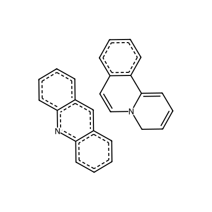 C1=CCN2C=Cc3ccccc3C2=C1.c1ccc2nc3ccccc3cc2c1